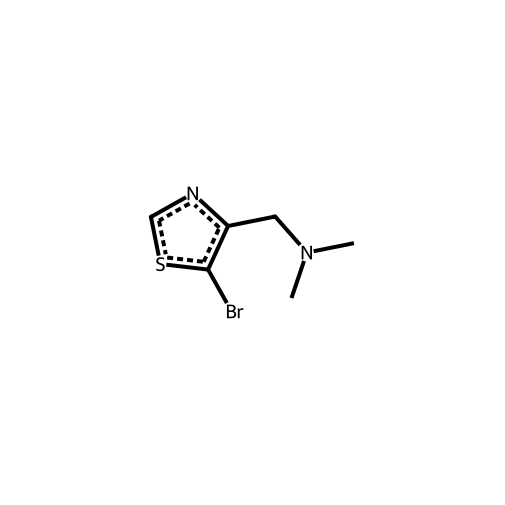 CN(C)Cc1ncsc1Br